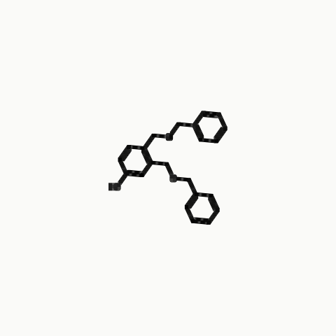 Oc1ccc(COCc2ccccc2)c(COCc2ccccc2)c1